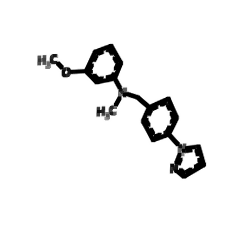 COc1cccc(N(C)Cc2ccc(-n3cccn3)cc2)c1